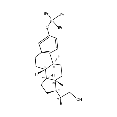 CC(C)[Si](Oc1ccc2c(c1)CC[C@@H]1[C@@H]2CC[C@]2(C)[C@@H]([C@H](C)CO)CC[C@@H]12)(C(C)C)C(C)C